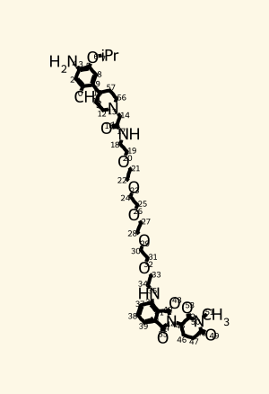 Cc1cc(N)c(OC(C)C)cc1C1CCN(CC(=O)NCCOCCOCCOCCOCCOCCNc2cccc3c2C(=O)N(C2CCC(=O)N(C)C2=O)C3=O)CC1